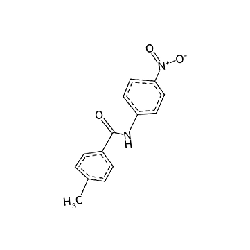 Cc1ccc(C(=O)Nc2ccc([N+](=O)[O-])cc2)cc1